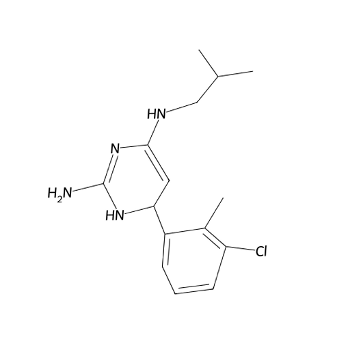 Cc1c(Cl)cccc1C1C=C(NCC(C)C)N=C(N)N1